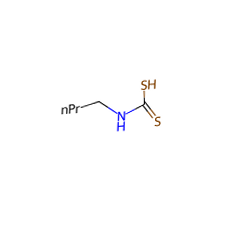 CCCCNC(=S)S